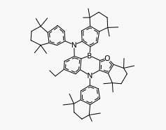 CCc1cc2c3c(c1)N(c1ccc4c(c1)C(C)(C)CCC4(C)C)c1c(oc4c1C(C)(C)CCC4(C)C)B3c1cc3c(cc1N2c1ccc2c(c1)C(C)(C)CCC2(C)C)C(C)(C)CCC3(C)C